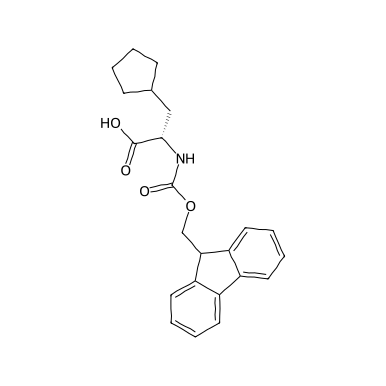 O=C(N[C@@H](CC1CCCC1)C(=O)O)OCC1c2ccccc2-c2ccccc21